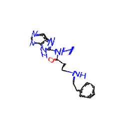 O=C(CCNCc1ccccc1)Nc1nc2cncnc2[nH]1